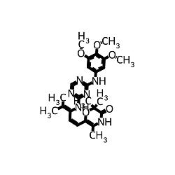 COc1cc(Nc2ncnc(NC(/C=C\C3=C(C)NC(=O)C(C)(C)O3)=C(C)C)n2)cc(OC)c1OC